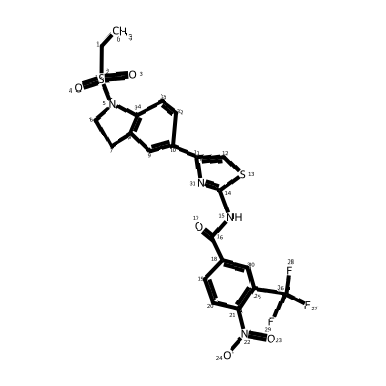 CCS(=O)(=O)N1CCc2cc(-c3csc(NC(=O)c4ccc([N+](=O)[O-])c(C(F)(F)F)c4)n3)ccc21